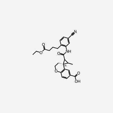 CCOC(=O)CCCc1ccc(C#N)cc1NC(=O)C1C(C)[C@]12CCOc1ccc(C(=O)O)cc12